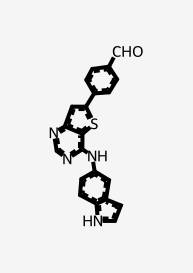 O=Cc1ccc(-c2cc3ncnc(Nc4ccc5[nH]ccc5c4)c3s2)cc1